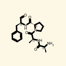 C[C@H](N)C(=O)N[C@@H](C)C(=O)N1CCC[C@H]1C(=O)N[C@H]([C]=O)Cc1ccccc1